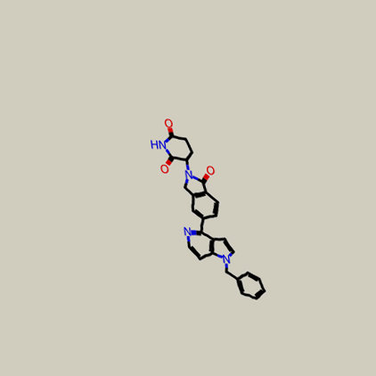 O=C1CCC(N2Cc3cc(-c4nccc5c4ccn5Cc4ccccc4)ccc3C2=O)C(=O)N1